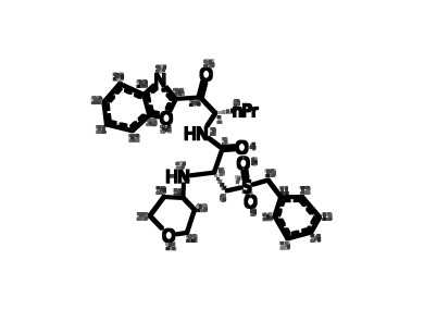 CCC[C@H](NC(=O)[C@H](CS(=O)(=O)Cc1ccccc1)NC1CCOCC1)C(=O)c1nc2ccccc2o1